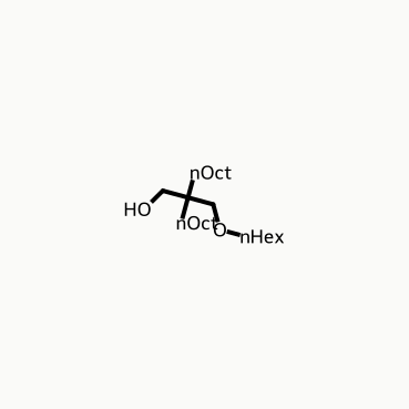 CCCCCCCCC(CO)(CCCCCCCC)COCCCCCC